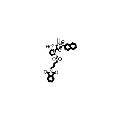 O=C1c2ccccc2C(=O)N1CCCCS(=O)(=O)C[C@@H]1CCCN1C(=O)[C@H](CO)NS(=O)(=O)c1ccc2ccccc2c1